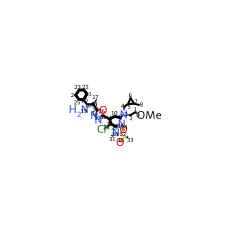 COCCN(CC1CC1C)c1cc(-c2nnc([C@H](C)C(N)c3ccccc3)o2)c(Cl)c(N(C)S(C)(=O)=O)n1